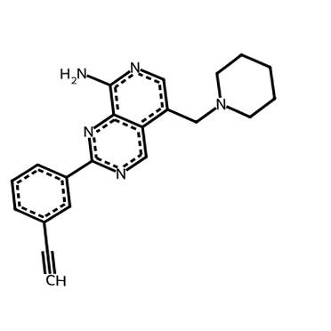 C#Cc1cccc(-c2ncc3c(CN4CCCCC4)cnc(N)c3n2)c1